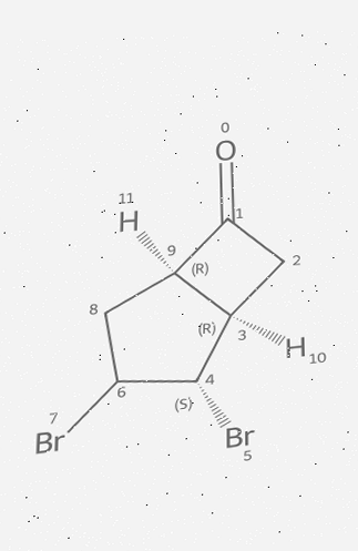 O=C1C[C@H]2[C@H](Br)C(Br)C[C@@H]12